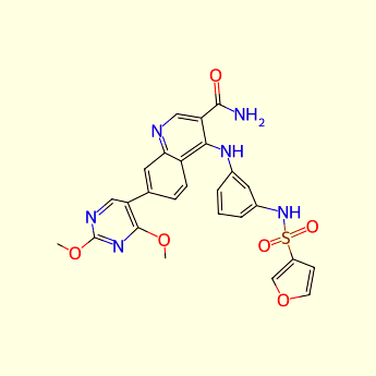 COc1ncc(-c2ccc3c(Nc4cccc(NS(=O)(=O)c5ccoc5)c4)c(C(N)=O)cnc3c2)c(OC)n1